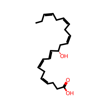 CC/C=C\C/C=C\C/C=C\C[C@H](O)/C=C/C=C\C/C=C\CCC(=O)O